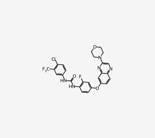 O=C(Nc1ccc(Cl)c(C(F)(F)F)c1)Nc1ccc(Oc2ccc3ncc(N4CCOCC4)nc3c2)cc1F